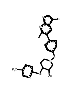 Cc1nc2[nH]cc(C#N)c2cc1-c1ccc(SN2CCC(Nc3ccc(C(F)(F)F)cn3)C(O)C2)cc1